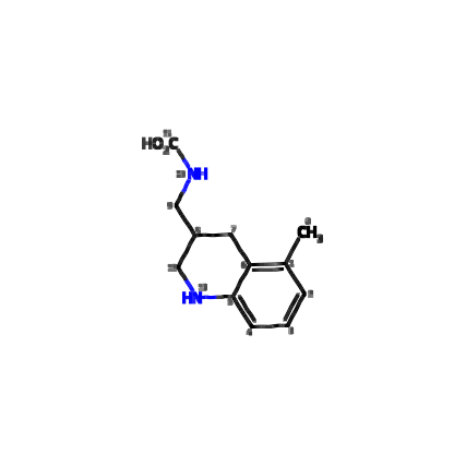 Cc1cccc2c1CC(CNC(=O)O)CN2